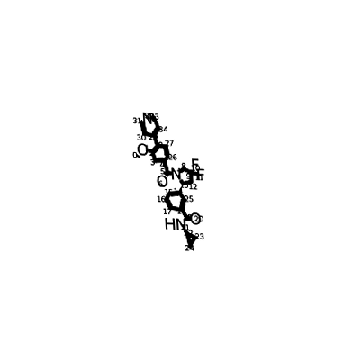 COc1cc(C(=O)N2CC(F)(F)C[C@@H]2c2cccc(C(=O)NC3CC3)c2)ccc1-c1ccncc1